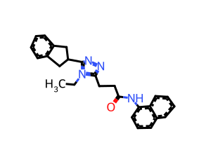 CCn1c(CCC(=O)Nc2cccc3ccccc23)nnc1C1Cc2ccccc2C1